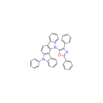 c1ccc(-c2nc(-c3ccccc3)c(-n3c4ccccc4c4ccc5c(c6ccccc6n5-c5ccccc5)c43)o2)cc1